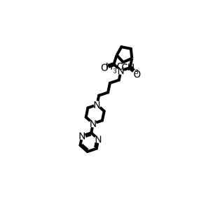 CC1(C)C2CCC1C(=O)N(CCCCN1CCN(c3ncccn3)CC1)C2=O